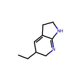 CCC1C=C2CCNC2=NC1